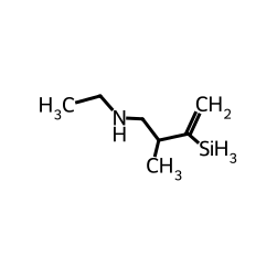 C=C([SiH3])C(C)CNCC